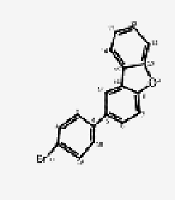 Brc1ccc(-c2ccc3oc4ccccc4c3c2)cc1